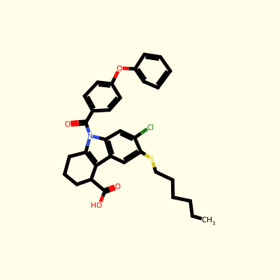 CCCCCCSc1cc2c3c(n(C(=O)c4ccc(Oc5ccccc5)cc4)c2cc1Cl)CCCC3C(=O)O